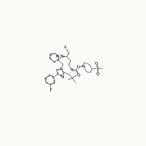 CC(C)(C)[C@H](c1nc(-c2cccc(F)c2)cn1Cc1ccccc1)N(CC[C@@H](N)CF)C(=O)ON1CCC(S(C)(=O)=O)CC1